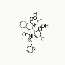 C[C@H](O)[C@H](CO)N1C(=O)c2ccccc2[C@@H](C(=O)NOCc2ccccn2)[C@@H]1c1ccc(Cl)cc1Cl